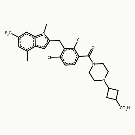 Cc1cc(C(F)(F)F)cc2c1cc(Cc1c(Cl)ccc(C(=O)N3CCN(C4CC(C(=O)O)C4)CC3)c1Cl)n2C